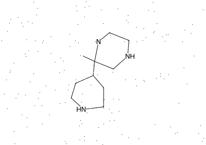 CC1(C2CCNCC2)CNCC[N]1